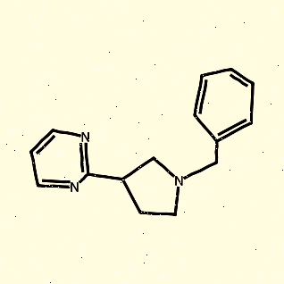 c1ccc(CN2CCC(c3ncccn3)C2)cc1